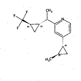 CC(c1cc([C@@H]2C[C@H]2C)ccn1)[C@@H]1C[C@H]1C(F)(F)F